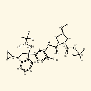 CO[C@@H]1C[C@H](C(=O)Nc2cc(C(CCC3CC3)(N[S@+]([O-])C(C)(C)C)c3ccncc3)ccc2F)N(C(=O)OC(C)(C)C)C1